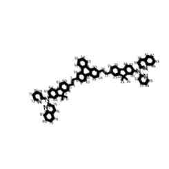 CC1(C)c2cc(/C=C/c3ccc4c5ccc(/C=C/c6ccc7c(c6)C(C)(C)c6cc(N(c8ccccn8)c8ccc9ccccc9n8)ccc6-7)cc5c5ccccc5c4c3)ccc2-c2ccc(N(c3ccccn3)c3ccc4ccccc4n3)cc21